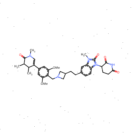 COc1cc(C2=CN(C)C(=O)C(C)C2C)cc(OC)c1CN1CC(CCc2ccc3c(c2)n(C)c(=O)n3C2CCC(=O)NC2=O)C1